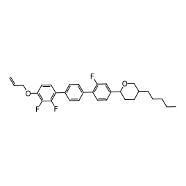 C=CCOc1ccc(-c2ccc(-c3ccc(C4CCC(CCCCC)CO4)cc3F)cc2)c(F)c1F